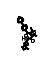 Cc1sc(C)c(C(=O)c2ccc(-c3ccccc3)cc2)c1C(=O)NC1CC2(CCC2C)C1